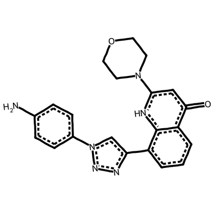 Nc1ccc(-n2cc(-c3cccc4c(=O)cc(N5CCOCC5)[nH]c34)nn2)cc1